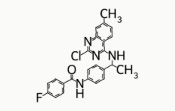 Cc1ccc2c(NC(C)c3ccc(NC(=O)c4ccc(F)cc4)cc3)nc(Cl)nc2c1